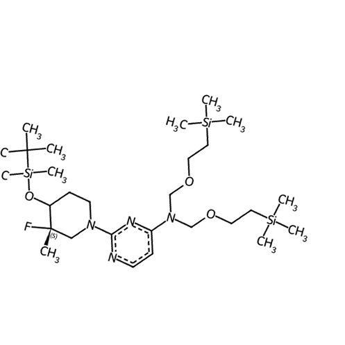 CC(C)(C)[Si](C)(C)OC1CCN(c2nccc(N(COCC[Si](C)(C)C)COCC[Si](C)(C)C)n2)C[C@]1(C)F